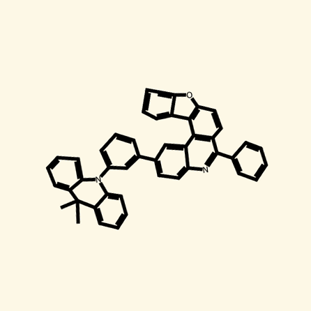 CC1(C)c2ccccc2N(c2cccc(-c3ccc4nc(-c5ccccc5)c5ccc6oc7ccccc7c6c5c4c3)c2)c2ccccc21